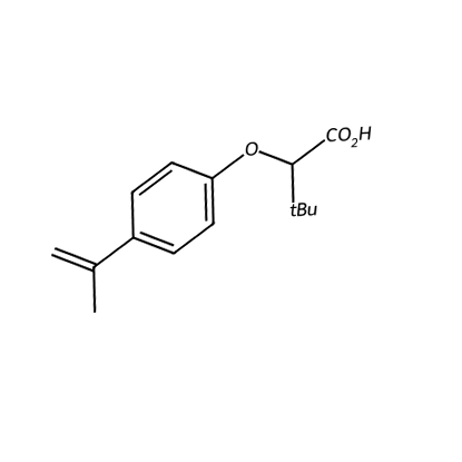 C=C(C)c1ccc(OC(C(=O)O)C(C)(C)C)cc1